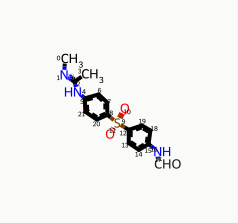 C/N=C(\C)Nc1ccc(S(=O)(=O)c2ccc(NC=O)cc2)cc1